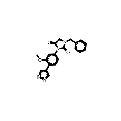 COc1cc(N2C(=O)CN(Cc3ccccc3)C2=O)ccc1-c1cn[nH]c1